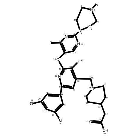 Cc1nc(N2CCN(C)CC2)ncc1Oc1nc(-c2cc(Cl)cc(Cl)c2)cc(CN2CCC(CC(=O)O)CC2)c1F